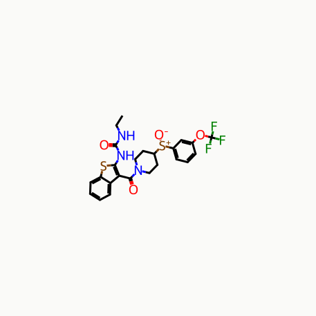 CCNC(=O)Nc1sc2ccccc2c1C(=O)N1CCC([S+]([O-])c2cccc(OC(F)(F)F)c2)CC1